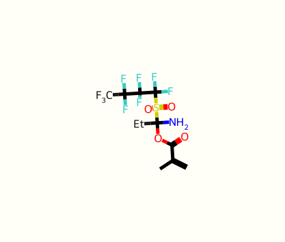 C=C(C)C(=O)OC(N)(CC)S(=O)(=O)C(F)(F)C(F)(F)C(F)(F)C(F)(F)F